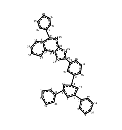 c1ccc(-c2cc(-c3ccccc3)cc(-c3cccc(-c4nc5nc(-c6ccccc6)c6ccccc6n5n4)c3)c2)cc1